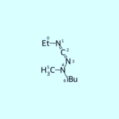 CCN=C=NN(C)C(C)CC